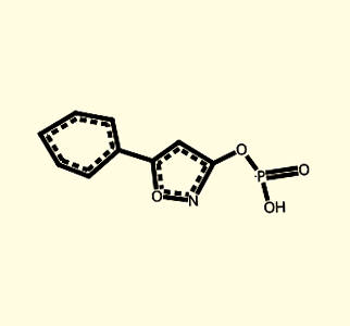 O=[P](O)Oc1cc(-c2ccccc2)on1